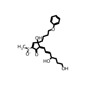 C[S+]([O-])C1=CC(O)(CCCCOc2ccccc2)C(=CC=CC(O)CCCO)C1=O